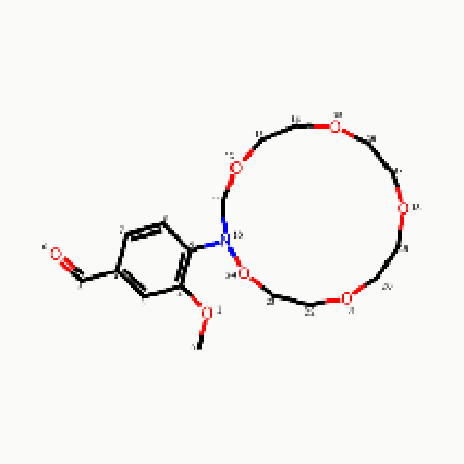 COc1cc(C=O)ccc1N1COCCOCCOCCOCCO1